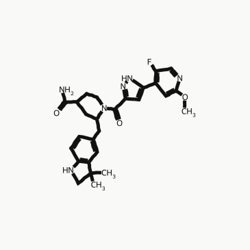 COc1cc(-c2cc(C(=O)N3CCC(C(N)=O)CC3Cc3ccc4c(c3)C(C)(C)CN4)n[nH]2)c(F)cn1